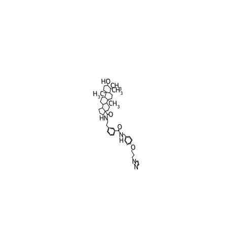 CC1(C)C(O)CCC2(C)C1CCC1(C)C3CCC4(C(=O)NCCc5cccc(C(=O)NCc6ccc(OCCCn7ccnc7)cc6)c5)CCCC4C3CCC12